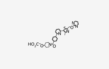 Cc1nc(COc2ncccn2)sc1-c1cccc(-c2ccc(C(=O)N3CCC(OCC(=O)O)CC3)cc2)n1